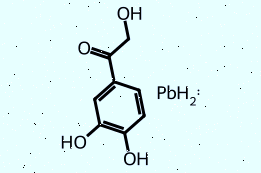 O=C(CO)c1ccc(O)c(O)c1.[PbH2]